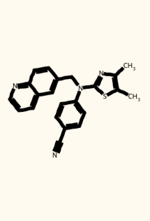 Cc1nc(N(Cc2ccc3ncccc3c2)c2ccc(C#N)cc2)sc1C